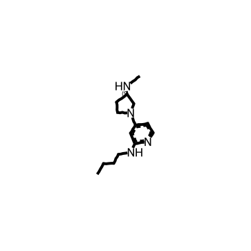 CCCCNc1cc(N2CC[C@H](NC)C2)ccn1